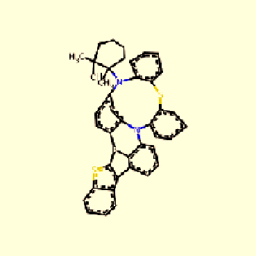 CC1(C)CCCCC1(C)N1c2ccc3c(c2)N(c2ccccc2Sc2ccccc21)c1cccc2c1B3c1sc3ccccc3c1-2